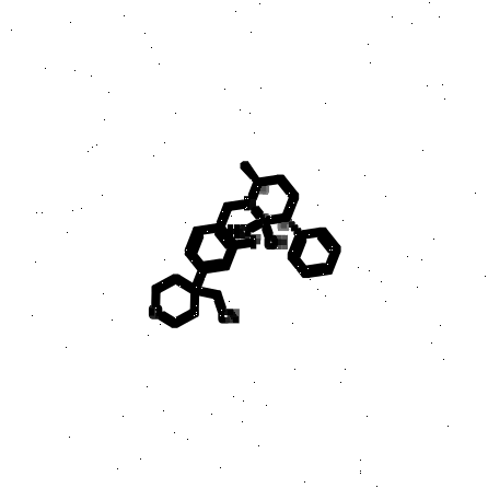 C[C@H]1CC[C@H](c2ccccc2)S(O)(O)N1Cc1ccc(C2(CC#N)CCOCC2)cc1F